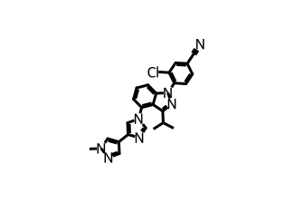 CC(C)c1nn(-c2ccc(C#N)cc2Cl)c2cccc(-n3cnc(-c4cnn(C)c4)c3)c12